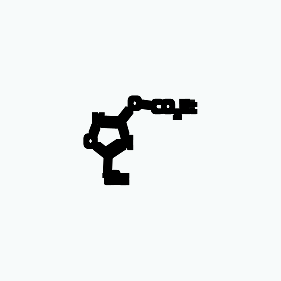 CCOC(=O)Oc1noc(C(C)(C)C)n1